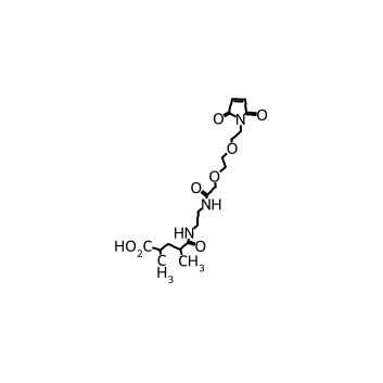 CC(CC(C)C(=O)NCCNC(=O)COCCOCCN1C(=O)C=CC1=O)C(=O)O